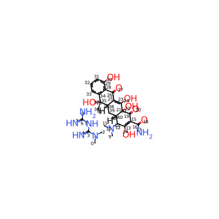 CN(C)C(=N)NC(=N)N.CN(C)[C@@H]1C(O)=C(C(N)=O)C(=O)[C@@]2(O)C(O)=C3C(=O)c4c(O)cccc4[C@@](C)(O)[C@H]3C[C@@H]12